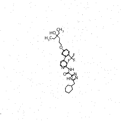 CCC(O)(CC)CCCOc1ccc(C(F)(F)F)c(-c2ccnc(NC(=O)c3nnc(CC4CCCCC4)[nH]3)c2)c1